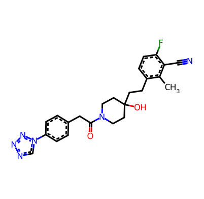 Cc1c(CCC2(O)CCN(C(=O)Cc3ccc(-n4cnnn4)cc3)CC2)ccc(F)c1C#N